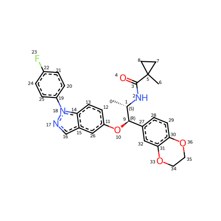 C[C@H](NC(=O)C1(C)CC1)[C@H](Oc1ccc2c(cnn2-c2ccc(F)cc2)c1)c1ccc2c(c1)OCCO2